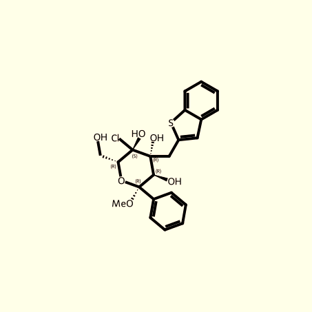 CO[C@]1(c2ccccc2)O[C@H](CO)[C@](O)(Cl)[C@@](O)(Cc2cc3ccccc3s2)[C@H]1O